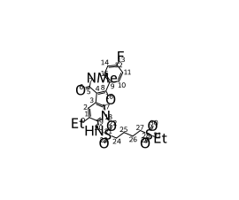 CCc1cc2c(C(=O)NC)c(-c3ccc(F)cc3)oc2nc1NS(=O)(=O)CCCCS(=O)(=O)CC